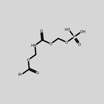 CC(C)C(=O)OCNC(=O)OCOP(=O)(O)O